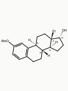 CC[C@]12CC[C@@H]3c4cc(OC)[c]cc4CC[C@H]3[C@@H]1CC[C@H]2O